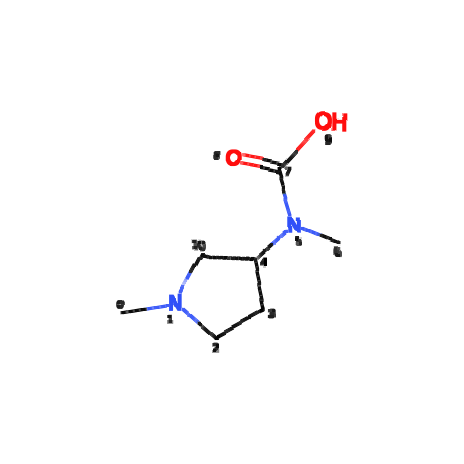 CN1CCC(N(C)C(=O)O)C1